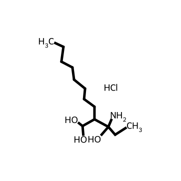 CCCCCCCCC(C(O)O)C(N)(O)CC.Cl